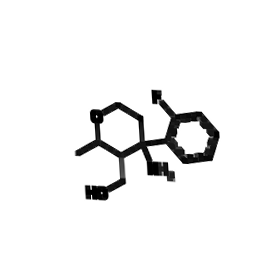 CC1OCCC(N)(c2ccccc2F)C1CO